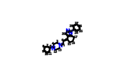 C(/CN1CCN(c2ccccc2)CC1)=C1/CCCc2c1cnn2-c1ccccc1